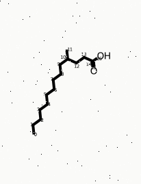 CCCCCCCCCCC(C)CCC(=O)O